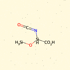 O=C=N[SiH](O[SiH3])C(=O)O